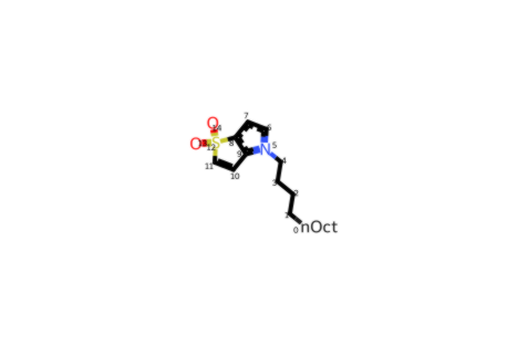 CCCCCCCCCCCCn1ccc2c1C=CS2(=O)=O